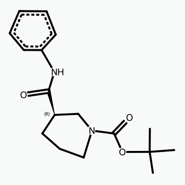 CC(C)(C)OC(=O)N1CCC[C@@H](C(=O)Nc2ccccc2)C1